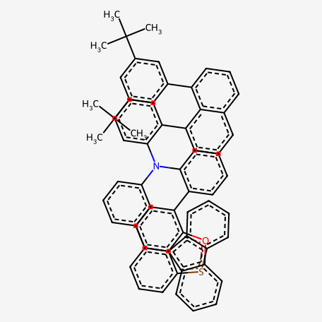 CC(C)(C)c1cc(-c2cccc3cccc(-c4ccccc4N(c4cccc(-c5cccc6sc7ccccc7c56)c4)c4ccccc4-c4cccc5c4oc4ccccc45)c23)cc(C(C)(C)C)c1